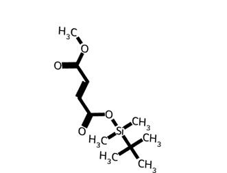 COC(=O)C=CC(=O)O[Si](C)(C)C(C)(C)C